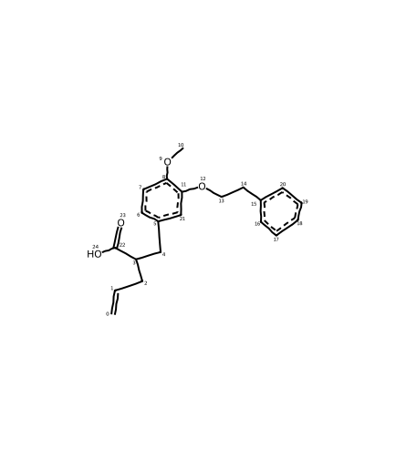 C=CCC(Cc1ccc(OC)c(OCCc2ccccc2)c1)C(=O)O